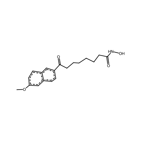 COc1ccc2cc(C(=O)CCCCCCC(=O)NO)ccc2c1